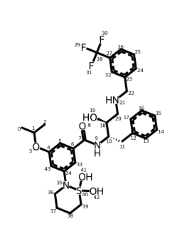 CC(C)Oc1cc(C(=O)N[C@@H](Cc2ccccc2)[C@@H](O)CNCc2cccc(C(F)(F)F)c2)cc(N2CCCCS2(O)O)c1